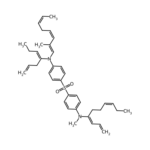 C=C/C=C(\CC/C=C\CC)N(C)c1ccc(S(=O)(=O)c2ccc(N(/C=C(C)/C=C\C/C=C\C)/C(=C/CC)CC=C)cc2)cc1